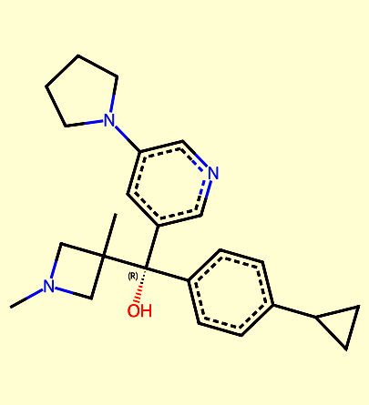 CN1CC(C)([C@](O)(c2ccc(C3CC3)cc2)c2cncc(N3CCCC3)c2)C1